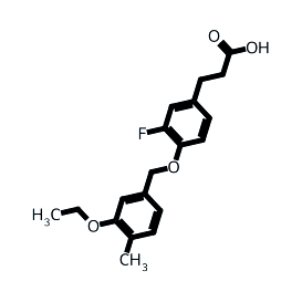 CCOc1cc(COc2ccc(CCC(=O)O)cc2F)ccc1C